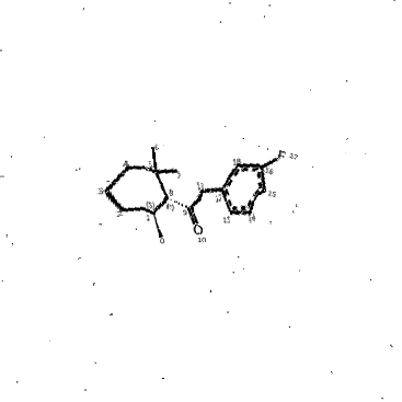 C[C@H]1CCCC(C)(C)[C@@H]1C(=O)Cc1cccc(F)c1